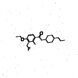 CCCC1CCC(CC(=O)c2ccc(OCC)c(CF)c2C)CC1